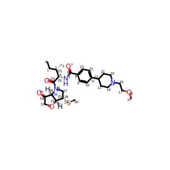 CC[C@H](C)[C@H](NC(=O)c1ccc(C2CCN(CCOC)CC2)cc1)C(=O)N1C[C@H](SC)[C@H]2OCC(=O)[C@H]21